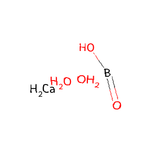 O.O.O=BO.[CaH2]